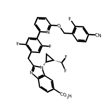 N#Cc1ccc(COc2cccc(-c3cc(F)c(Cc4nc5ccc(C(=O)O)cc5n4[C@@H]4C[C@@H]4C(F)F)cc3F)n2)c(F)c1